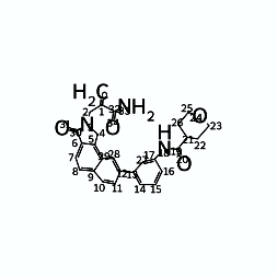 C=C(CN1Cc2c(ccc3ccc(-c4cccc(NC(=O)C5CCOCC5)c4)cc23)C1=O)C(N)=O